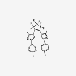 Cc1ccc(-c2cc(C3=C(c4cc(-c5ccc(C)cc5)sc4C)C(F)(F)C(F)(F)C3(F)F)c(C)s2)cc1